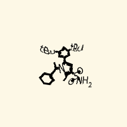 Cc1c(S(N)(=O)=O)cc(-c2cc(C(C)(C)C)cc(C(C)(C)C)c2)n1C(C)C1CCCCC1